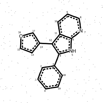 c1ccc(-c2[nH]c3ncccc3c2-c2ccoc2)cc1